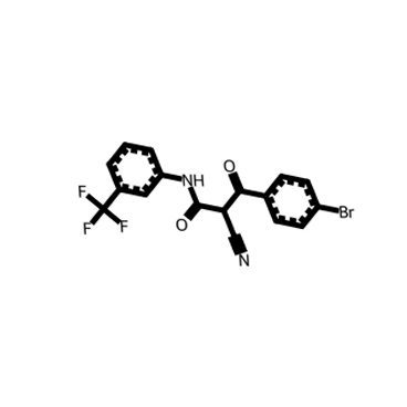 N#CC(C(=O)Nc1cccc(C(F)(F)F)c1)C(=O)c1ccc(Br)cc1